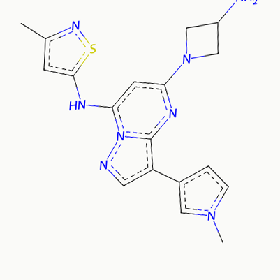 Cc1cc(Nc2cc(N3CC(N)C3)nc3c(-c4ccn(C)c4)cnn23)sn1